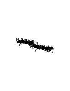 Cc1cc(C(C)(C)c2ccc(C(C)(C)c3cc(C)c(OCC4CO4)c(C)c3)cc2)cc(C)c1OCCC(O)COc1c(C)cc(C(C)(C)c2ccc(C(C)(C)c3cc(C)c(OCC4CO4)c(C)c3)cc2)cc1C